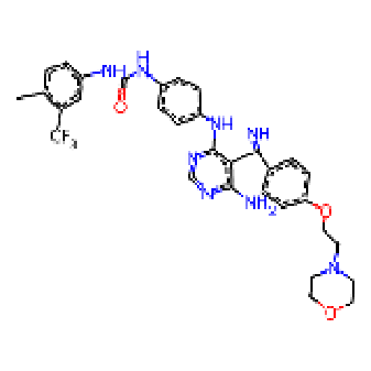 Cc1ccc(NC(=O)Nc2ccc(Nc3ncnc(N)c3C(=N)c3ccc(OCCN4CCOCC4)cc3)cc2)cc1C(F)(F)F